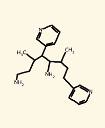 CC(CCc1cccnc1)C(N)C(c1cccnc1)C(C)CCN